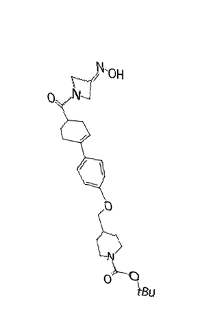 CC(C)(C)OC(=O)N1CCC(COc2ccc(C3=CCC(C(=O)N4CC(=NO)C4)CC3)cc2)CC1